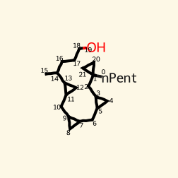 CCCCCC1(CC2CC2CC2CC2CC2CC2C(C)CCCO)CC1